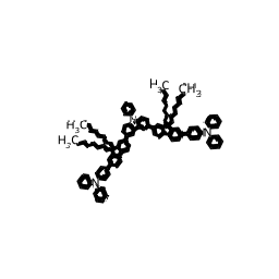 CCCCCCCCC1(CCCCCCCC)c2cc(-c3ccc(N(c4ccccc4)c4ccccc4)cc3)ccc2-c2ccc(-c3ccc4c(c3)c3cc(-c5ccc6c(c5)C(CCCCCCCC)(CCCCCCCC)c5cc(-c7ccc(N(c8ccccc8)c8ccccc8)cc7)ccc5-6)ccc3n4-c3ccccc3)cc21